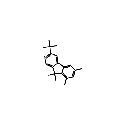 Cc1cc(C)c2c(c1)-c1cc(C(C)(C)C)ncc1C2(C)C